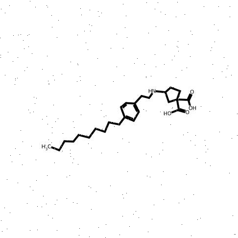 CCCCCCCCCCc1ccc(CCNC2CCC(C(=O)O)(C(=O)O)C2)cc1